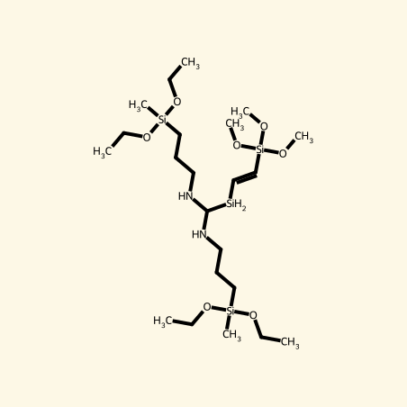 CCO[Si](C)(CCCNC(NCCC[Si](C)(OCC)OCC)[SiH2]C=C[Si](OC)(OC)OC)OCC